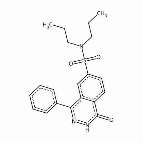 CCCN(CCC)S(=O)(=O)c1ccc2c(=O)[nH]nc(-c3ccccc3)c2c1